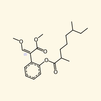 CCC(C)CCCC(C)C(=O)Oc1ccccc1/C(=C/OC)C(=O)OC